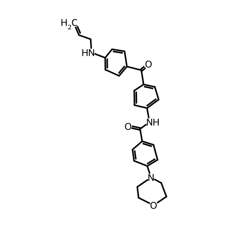 C=CCNc1ccc(C(=O)c2ccc(NC(=O)c3ccc(N4CCOCC4)cc3)cc2)cc1